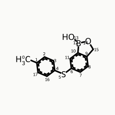 Cc1ccc(Sc2ccc3c(c2)B(O)OC3)cc1